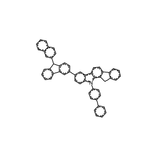 c1ccc(-c2ccc(-n3c4ccc(-c5ccc6c(c5)-c5ccccc5C6c5ccc6ccccc6c5)cc4c4ccc5c(c43)Cc3ccccc3-5)cc2)cc1